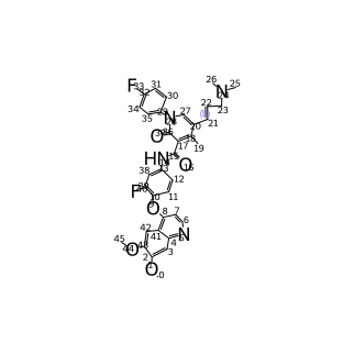 COc1cc2nccc(Oc3ccc(NC(=O)c4c(C)c(/C=C/CN(C)C)cn(-c5ccc(F)cc5)c4=O)cc3F)c2cc1OC